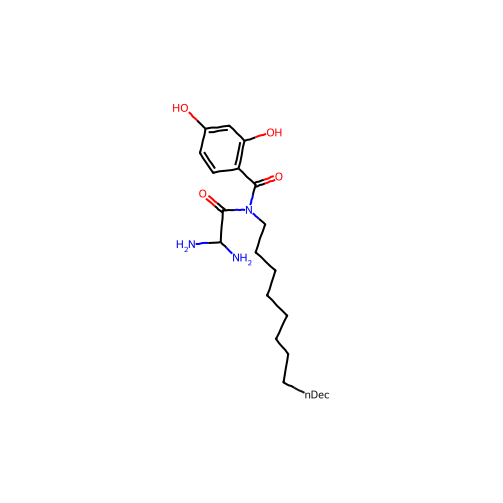 CCCCCCCCCCCCCCCCCCN(C(=O)c1ccc(O)cc1O)C(=O)C(N)N